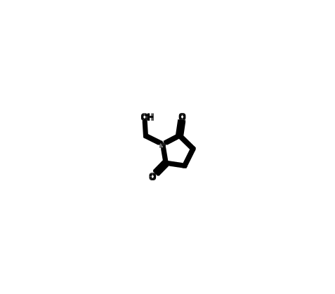 O=C1CCC(=O)N1CO